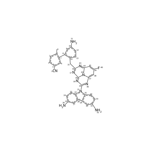 Cc1ccc(C#N)cc1-c1cc(N)ccc1CC1=NC2=NC(n3c4ccc(N)cc4c4cc(N)ccc43)=NC3=CC(F)=CC(=N1)N32